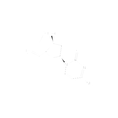 C=C[C@]1(CO)O[C@H](n2ccc(N)nc2=O)C[C@@H]1O